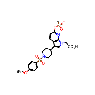 CC(C)Oc1ccc(S(=O)(=O)N2CCC(c3cn(CC(=O)O)c4nc(OS(C)(=O)=O)ccc34)CC2)cc1